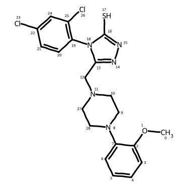 COc1ccccc1N1CCN(Cc2nnc(S)n2-c2ccc(Cl)cc2Cl)CC1